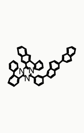 c1ccc(-c2ccccc2-c2nc(-c3cccc(-c4ccc5cc(-c6ccc7ccccc7c6)ccc5c4)c3)nc(-c3cc4ccccc4cc3-c3ccccc3)n2)cc1